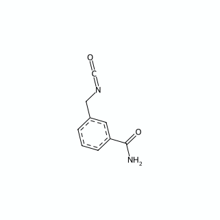 NC(=O)c1cccc(CN=C=O)c1